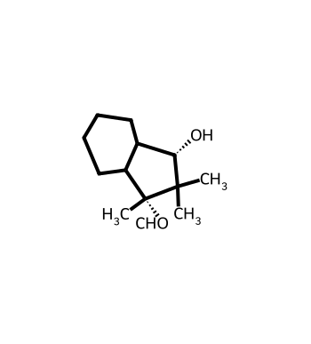 CC1(C)[C@@H](O)C2CCCCC2[C@@]1(C)C=O